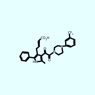 Cc1[nH]c(-c2ccccc2)c(C/C=C/C(=O)O)c1C(=O)C(=O)N1CCN(c2cccc(C(F)(F)F)c2)CC1